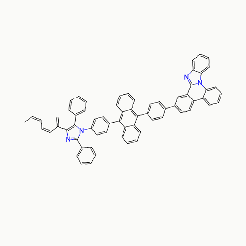 C=C(/C=C\C=C/C)c1nc(-c2ccccc2)n(-c2ccc(-c3c4ccccc4c(-c4ccc(-c5ccc6c7ccccc7n7c8ccccc8nc7c6c5)cc4)c4ccccc34)cc2)c1-c1ccccc1